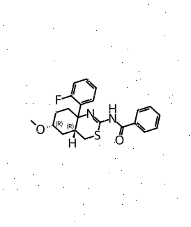 CO[C@@H]1CCC2(c3ccccc3F)N=C(NC(=O)c3ccccc3)SC[C@@H]2C1